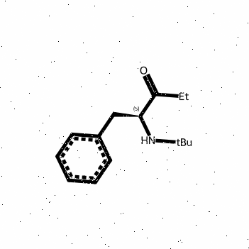 CCC(=O)[C@H](Cc1ccccc1)NC(C)(C)C